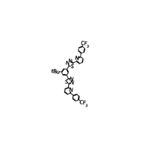 CC(C)(C)c1cc(-c2nnc(-c3cccc(-c4ccc(C(F)(F)F)cc4)n3)s2)cc(-c2nnc(-c3cccc(-c4ccc(C(F)(F)F)cc4)n3)s2)c1